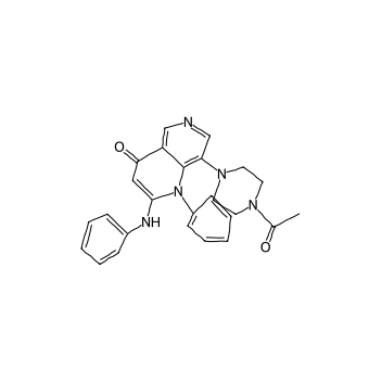 CC(=O)N1CCN(c2cncc3c(=O)cc(Nc4ccccc4)n(-c4ccccc4)c23)CC1